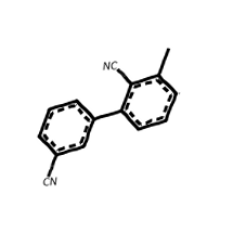 Cc1[c]ccc(-c2cccc(C#N)c2)c1C#N